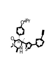 C#Cc1cccc(-c2csc([C@@]3(C)NC(=C)N(C)C(=O)[C@@H]3c3ccc(OC(C)C)cc3)c2)c1